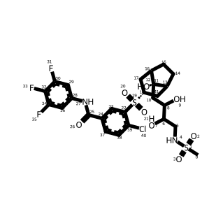 CS(=O)(=O)NCC(O)C(O)C[C@]1(O)C2CCC1C[C@@H](S(=O)(=O)c1cc(C(=O)Nc3cc(F)c(F)c(F)c3)ccc1Cl)C2